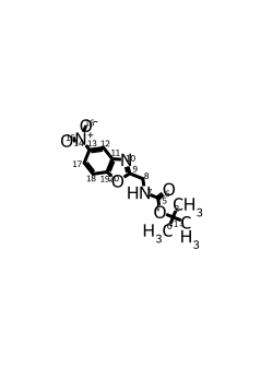 CC(C)(C)OC(=O)NCc1nc2cc([N+](=O)[O-])ccc2o1